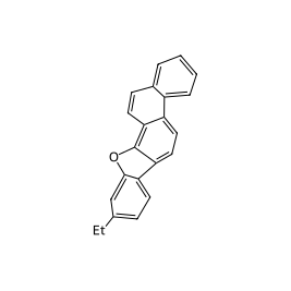 CCc1ccc2c(c1)oc1c2ccc2c3ccccc3ccc21